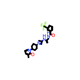 C=C(CNC(=O)c1cccc(C(F)(F)F)c1)NC1CN(C2CCC(n3cccc(C)c3=O)CC2)C1